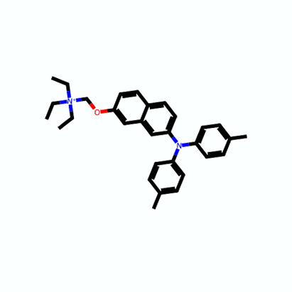 CC[N+](CC)(CC)COc1ccc2ccc(N(c3ccc(C)cc3)c3ccc(C)cc3)cc2c1